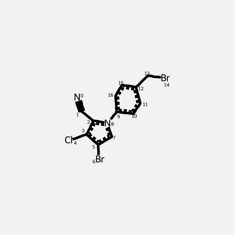 N#Cc1c(Cl)c(Br)cn1-c1ccc(CBr)cc1